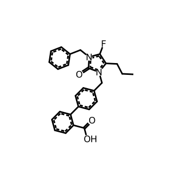 CCCc1c(F)n(Cc2ccccc2)c(=O)n1Cc1ccc(-c2ccccc2C(=O)O)cc1